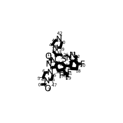 CC(=O)N1[C@H](C)CN(c2nc(=O)n3c4c(c(-c5ccc(F)c6cnn(C)c56)c(C(F)(F)F)cc24)SCC3CN2CCN(C)CC2)C[C@@H]1C